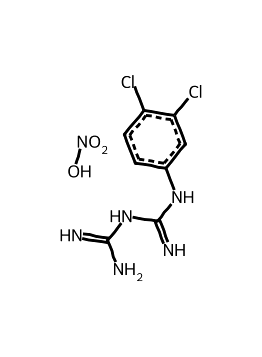 N=C(N)NC(=N)Nc1ccc(Cl)c(Cl)c1.O=[N+]([O-])O